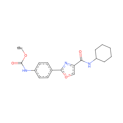 CC(C)(C)OC(=O)Nc1ccc(-c2nc(C(=O)NC3CCCCC3)co2)cc1